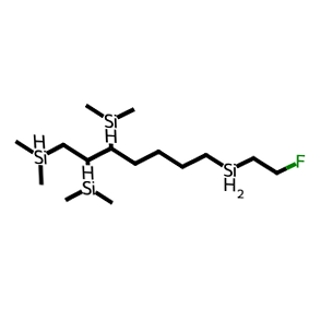 C[SiH](C)CC(C(CCCC[SiH2]CCF)[SiH](C)C)[SiH](C)C